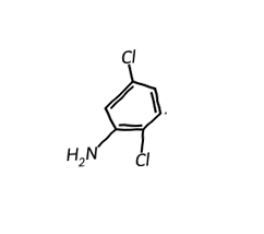 Nc1cc(Cl)c[c]c1Cl